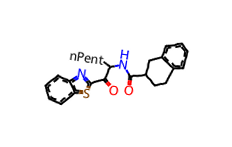 CCCCCC(NC(=O)C1CCc2ccccc2C1)C(=O)c1nc2ccccc2s1